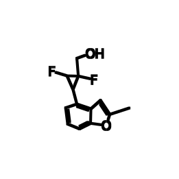 Cc1cc2c(C3C(F)C3(F)CO)cccc2o1